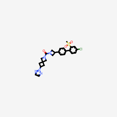 CS(=O)(=O)c1cc(Cl)ccc1-c1ccc(C2CN(C(=O)N3CC4(CC(n5nccn5)C4)C3)C2)cc1